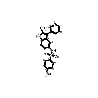 CCOC(=O)c1[nH]c2ccc(NS(=O)(=O)c3ccc(C(C)(C)C)cc3)cc2c1-c1cccnc1